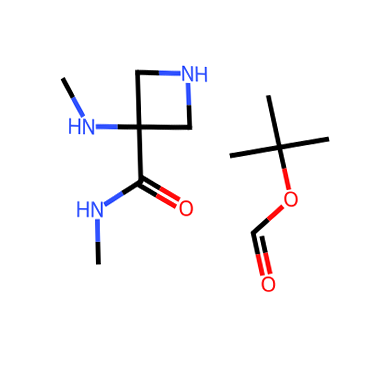 CC(C)(C)OC=O.CNC(=O)C1(NC)CNC1